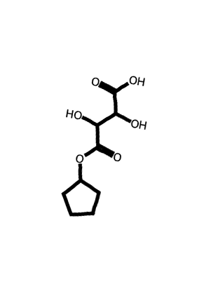 O=C(O)C(O)C(O)C(=O)OC1CCCC1